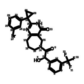 O=C([C@H](O)c1cccc(C(F)(F)F)c1)N1CCCc2nc(C3(c4cncc(Br)c4)CC3)[nH]c(=O)c2C1